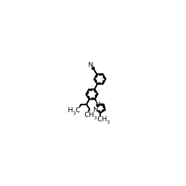 CCC(CC)c1ccc(-c2cccc(C#N)c2)cc1-n1ccc(C)n1